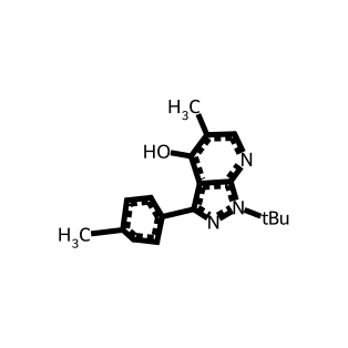 Cc1ccc(-c2nn(C(C)(C)C)c3ncc(C)c(O)c23)cc1